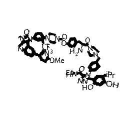 CCNC(=O)c1nnc(-c2cc(C(C)C)c(O)cc2O)n1-c1ccc(CN2CCN(C(=O)[C@H](N)Cc3ccc(OC(=O)N4CCN(c5ccc(-n6c(=O)n(C)c7cnc8ccc(-c9ccc(OC)nc9)cc8c76)cc5C(F)(F)F)CC4)cc3)CC2)cc1